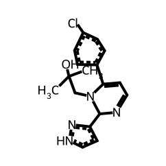 CC(C)(O)CN1C(c2ccc(Cl)cc2)=CC=NC1c1cc[nH]n1